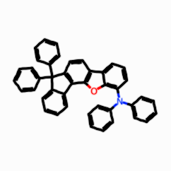 c1ccc(N(c2ccccc2)c2cccc3c2oc2c4c(ccc23)C(c2ccccc2)(c2ccccc2)c2ccccc2-4)cc1